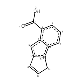 O=C(O)c1cccc2c1cc1n2CC=C1